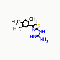 Cc1cc(C)c(-c2csc(NC(=N)N)n2)cc1C